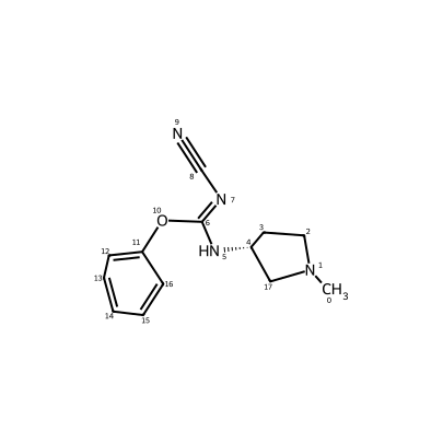 CN1CC[C@@H](N/C(=N/C#N)Oc2ccccc2)C1